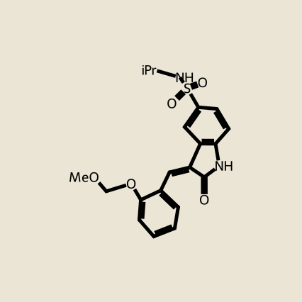 COCOc1ccccc1/C=C1\C(=O)Nc2ccc(S(=O)(=O)NC(C)C)cc21